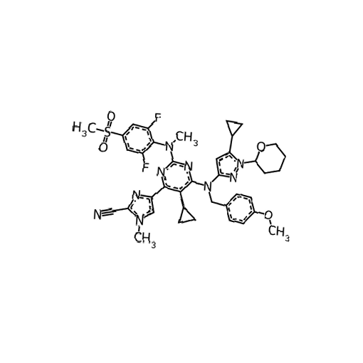 COc1ccc(CN(c2cc(C3CC3)n(C3CCCCO3)n2)c2nc(N(C)c3c(F)cc(S(C)(=O)=O)cc3F)nc(-c3cn(C)c(C#N)n3)c2C2CC2)cc1